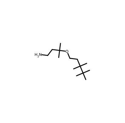 CC(C)(CCN)OCCC(C)(C)C(C)(C)C